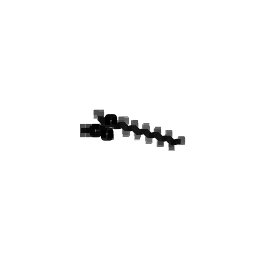 CCCCCCCCCCC=COC(C)C(=O)O